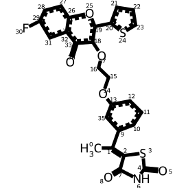 C/C(=C1/SC(=O)NC1=O)c1cccc(OCCOc2c(-c3cccs3)oc3ccc(F)cc3c2=O)c1